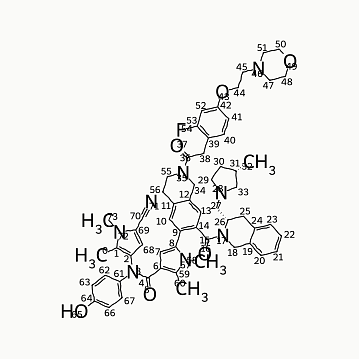 Cc1c(N(C(=O)c2cc(-c3cc4c(cc3C(=O)N3Cc5ccccc5C[C@H]3CN3CC[C@H](C)C3)CN(C(=O)Cc3ccc(OCCN5CCOCC5)cc3F)CC4)n(C)c2C)c2ccc(O)cc2)cc(C#N)n1C